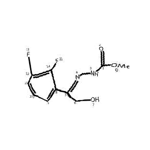 COC(=O)NN=C(CO)c1cccc(F)c1F